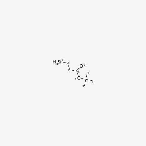 CC(C)(C)OC(=O)CC[SiH3]